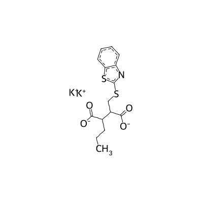 CCCC(C(=O)[O-])C(CSc1nc2ccccc2s1)C(=O)[O-].[K+].[K+]